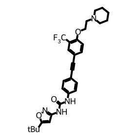 CC(C)(C)c1cc(NC(=O)Nc2ccc(C#Cc3ccc(OCCN4CCCCC4)c(C(F)(F)F)c3)cc2)no1